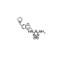 CN1C(N)=NS(=O)(=O)N=C1NCC1COc2cc(CN3CCCCC3)ccc2O1